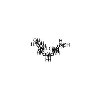 O=C(CO)N[C@@H]1CC[C@H](n2cnc3c(N[C@H]4CC[C@H](NC(=O)N[C@H]5CC[C@H](Nc6nc(Cl)nc7c6ncn7[C@@H]6C[C@H](NC(=O)CO)[C@@H](O)[C@H]6O)CC5)CC4)nc(Cl)nc32)C1